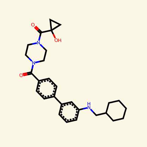 O=C(c1ccc(-c2cccc(NCC3CCCCC3)c2)cc1)N1CCN(C(=O)C2(O)CC2)CC1